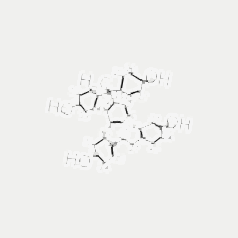 CC(c1ccccc1)(c1ccc(O)cc1)c1ccc(O)cc1.Oc1ccc(CCc2ccc(O)cc2)cc1